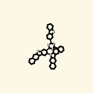 c1ccc(-c2nc(-c3ccc4c(c3)sc3ccccc34)nc(-c3cc4sc5cc6ccccc6cc5c4cc3-n3c4ccccc4c4cc5ccccc5cc43)n2)cc1